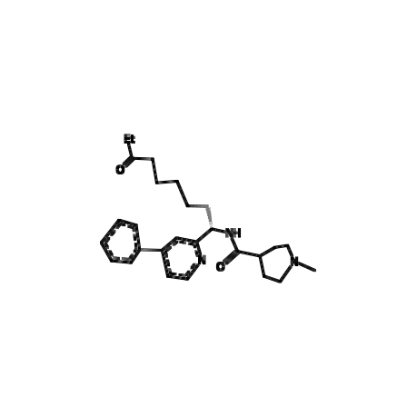 CCC(=O)CCCCC[C@H](NC(=O)C1CCN(C)CC1)c1cc(-c2ccccc2)ccn1